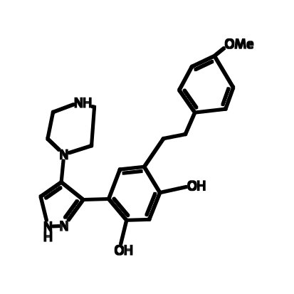 COc1ccc(CCc2cc(-c3n[nH]cc3N3CCNCC3)c(O)cc2O)cc1